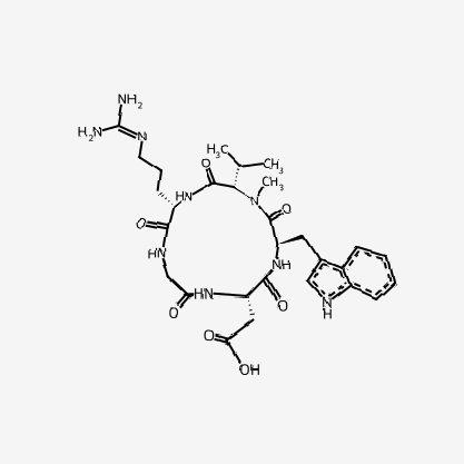 CC(C)[C@H]1C(=O)N[C@@H](CCCN=C(N)N)C(=O)NCC(=O)N[C@@H](CC(=O)O)C(=O)N[C@H](Cc2c[nH]c3ccccc23)C(=O)N1C